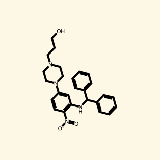 O=[N+]([O-])c1ccc(N2CCN(CCCO)CC2)cc1NC(c1ccccc1)c1ccccc1